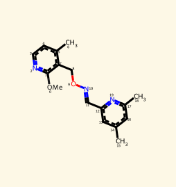 COc1nccc(C)c1CON=Cc1cc(C)cc(C)n1